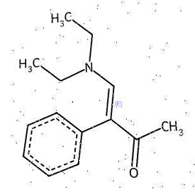 CCN(/C=C(/C(C)=O)c1ccccc1)CC